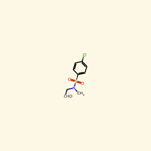 CN(C[C]=O)S(=O)(=O)c1ccc(Cl)cc1